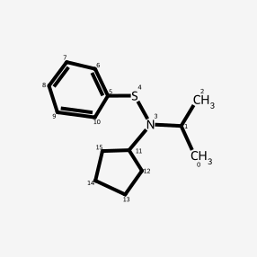 CC(C)N(Sc1ccccc1)C1CCCC1